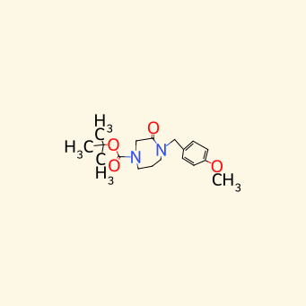 COc1ccc(CN2CCCN(C(=O)OC(C)(C)C)CC2=O)cc1